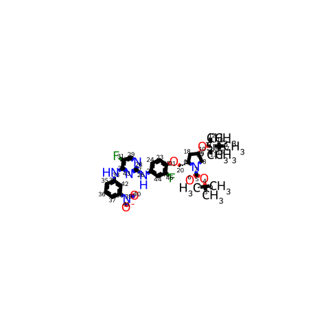 CC(C)(C)OC(=O)N1C[C@H](O[Si](C)(C)C(C)(C)C)C[C@H]1COc1ccc(Nc2ncc(F)c(Nc3cccc([N+](=O)[O-])c3)n2)cc1F